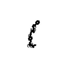 CCC(C)OOC(=O)CCc1ccc(OCCc2nc(-c3ccc(-c4ccccc4)s3)oc2C)cc1